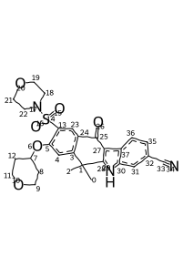 CC1(C)c2cc(OC3CCOCC3)c(S(=O)(=O)N3CCOCC3)cc2C(=O)c2c1[nH]c1cc(C#N)ccc21